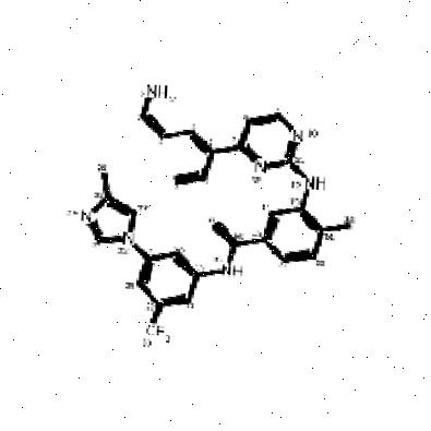 C=C/C(=C\C=C/N)c1ccnc(Nc2cc(C(=C)Nc3cc(-n4cnc(C)c4)cc(C(F)(F)F)c3)ccc2C)n1